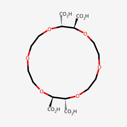 O=C(O)[C@H]1OCCOCCO[C@H](C(=O)O)[C@@H](C(=O)O)OCCOCCO[C@@H]1C(=O)O